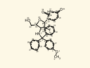 COc1ccc(C(NC2C(F)[C@H](n3ccc(=O)[nH]c3=O)O[C@@H]2CO)(c2ccccc2)c2ccccc2)cc1